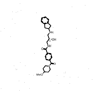 COC1CCN(C(=O)c2ccc(C(=O)NC[C@@H](O)CNC3Cc4ccccc4C3)cc2)CC1